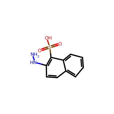 NNc1ccc2ccccc2c1S(=O)(=O)O